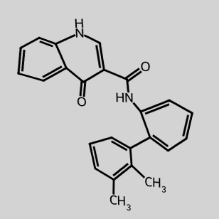 Cc1cccc(-c2ccccc2NC(=O)c2c[nH]c3ccccc3c2=O)c1C